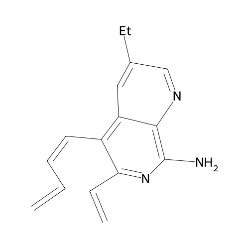 C=C/C=C\c1c(C=C)nc(N)c2ncc(CC)cc12